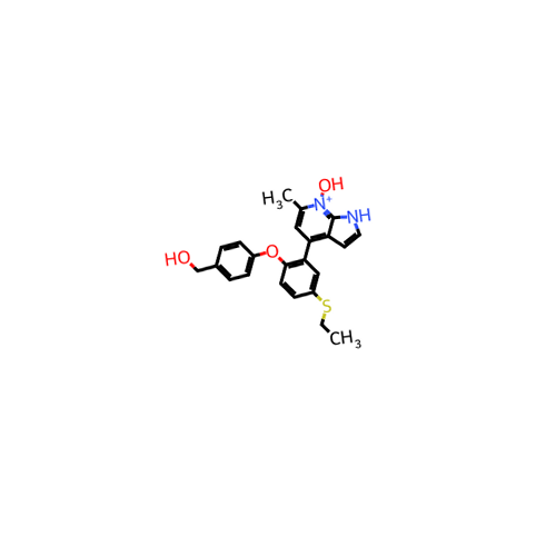 CCSc1ccc(Oc2ccc(CO)cc2)c(-c2cc(C)[n+](O)c3[nH]ccc23)c1